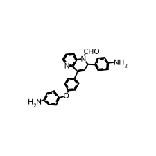 Nc1ccc(Oc2ccc(C3=CC(c4ccc(N)cc4)N(C=O)c4cccnc43)cc2)cc1